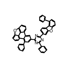 c1ccc(-c2nc(-c3ccc4c(c3)oc3cccc(-c5ccccc5)c34)nc(-c3cc(-c4ccccc4)c4c(c3)c3cccc5oc6cccc4c6c53)n2)cc1